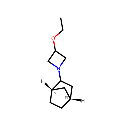 CCOC1CN(C2C[C@@H]3CC[C@H]2C3)C1